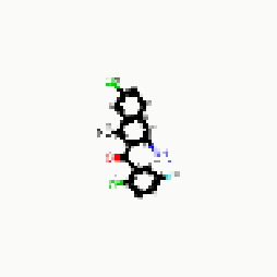 N#Cc1c(C(=O)c2cc(F)ccc2Cl)c(N)cc2ccc(Cl)cc12